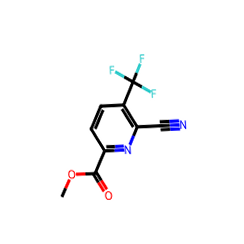 COC(=O)c1ccc(C(F)(F)F)c(C#N)n1